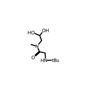 CN(CC(O)O)C(=O)CNC(C)(C)C